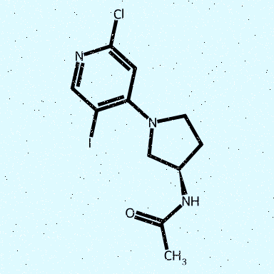 CC(=O)N[C@@H]1CCN(c2cc(Cl)ncc2I)C1